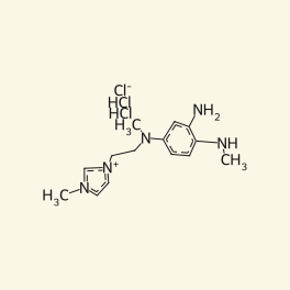 CNc1ccc(N(C)CC[n+]2ccn(C)c2)cc1N.Cl.Cl.[Cl-]